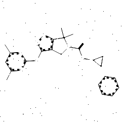 Cc1cc(C)nc(Nc2n[nH]c3c2CN(C(=O)N[C@H]2C[C@@H]2c2ccccc2)C3(C)C)n1